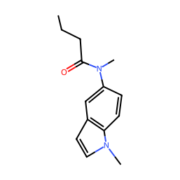 CCCC(=O)N(C)c1ccc2c(ccn2C)c1